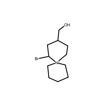 OCC1CC[N+]2(CCCCC2)C(Br)C1